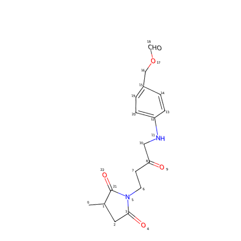 CC1CC(=O)N(CCC(=O)CNc2ccc(COC=O)cc2)C1=O